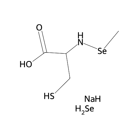 C[Se]NC(CS)C(=O)O.[NaH].[SeH2]